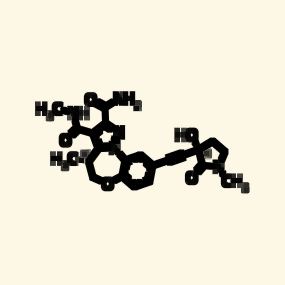 CNC(=O)c1c(C(N)=O)nn2c1[C@@H](C)COc1ccc(C#C[C@]3(O)CCN(C)C3=O)cc1-2